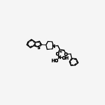 ON(O)O[C@H](COCc1ccccc1)CN1CCC(c2cc3ccccc3s2)CC1